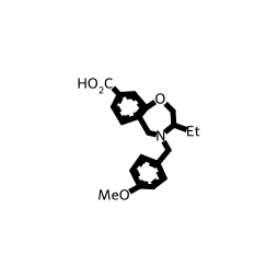 CCC1COc2cc(C(=O)O)ccc2CN1Cc1ccc(OC)cc1